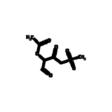 CC(=O)OC([C]=O)C(=O)CS(C)(=O)=O